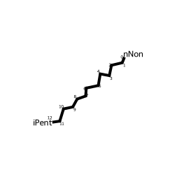 [CH2]CCCCCCCCCCCCCCCCCCCC(C)CC[CH2]